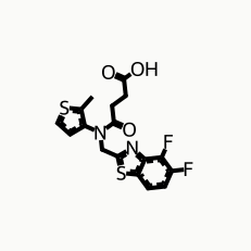 Cc1sccc1N(Cc1nc2c(F)c(F)ccc2s1)C(=O)CCC(=O)O